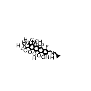 CN(C)[C@@H]1C(O)=C(C(N)=O)C(=O)C2C(O)=C3C(=O)c4c(O)cc(CNCC5CC5)c(F)c4C[C@H]3C[C@H]21